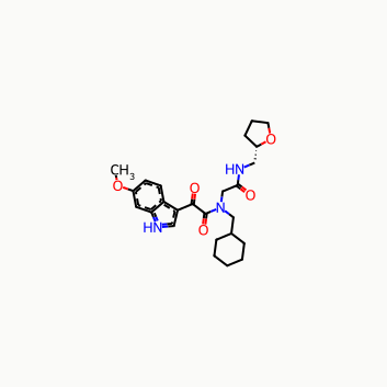 COc1ccc2c(C(=O)C(=O)N(CC(=O)NC[C@@H]3CCCO3)CC3CCCCC3)c[nH]c2c1